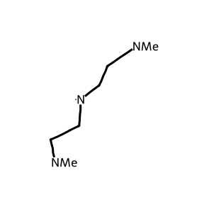 CNCC[N]CCNC